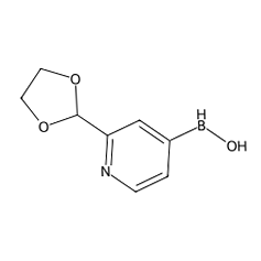 OBc1ccnc(C2OCCO2)c1